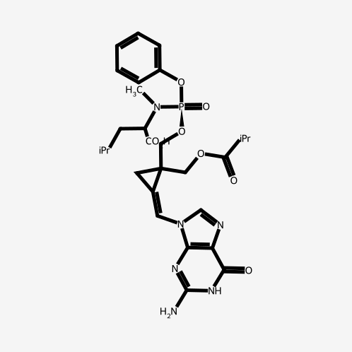 CC(C)CC(C(=O)O)N(C)[P@](=O)(OCC1(COC(=O)C(C)C)C/C1=C/n1cnc2c(=O)[nH]c(N)nc21)Oc1ccccc1